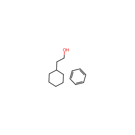 OCCC1CCCCC1.c1ccccc1